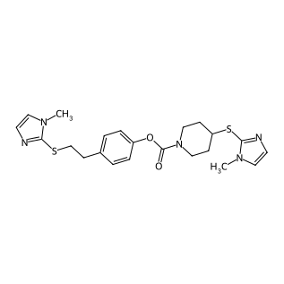 Cn1ccnc1SCCc1ccc(OC(=O)N2CCC(Sc3nccn3C)CC2)cc1